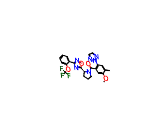 COc1cc(C(=O)N2CCC[C@H]2c2nc(-c3ccccc3OC(F)(F)F)no2)c(-n2nccn2)cc1C